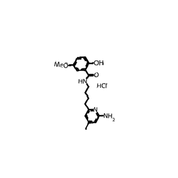 COc1ccc(O)c(C(=O)NCCCCc2cc(C)cc(N)n2)c1.Cl